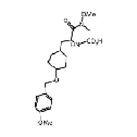 COc1ccc(COC2CCC(CC(NC(=O)O)C(=O)N(C)OC)CC2)cc1